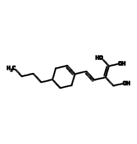 CCCCC1CC=C(C=CC(CO)=C(O)O)CC1